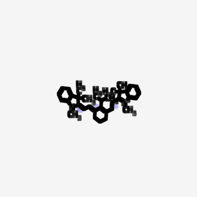 CC(C)C1=C(/C=C/C2=[N+](C)c3ccccc3C2(C)C)CCC/C1=C\C=C1\N(C)c2ccccc2C1(C)C